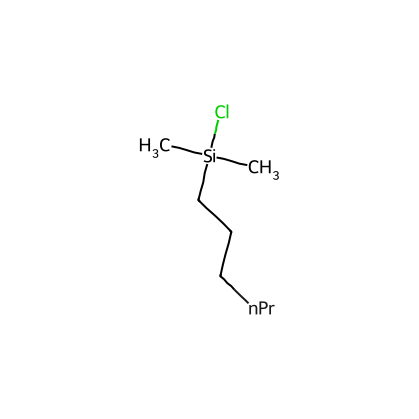 [CH2]CCCCC[Si](C)(C)Cl